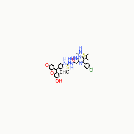 CC(=N)N1C(=N)[C@H](CC(=O)NNC(=S)Nc2ccc(-c3c4ccc(=O)cc-4oc4cc(O)ccc34)c(C=O)c2)N=C(c2ccc(Cl)cc2)c2c1sc(C)c2C